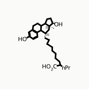 CCCC(CCCCCCCC[C@H]1C[C@@]2(C)C(CC[C@@H]2O)C2CCc3cc(O)ccc3C21)C(=O)O